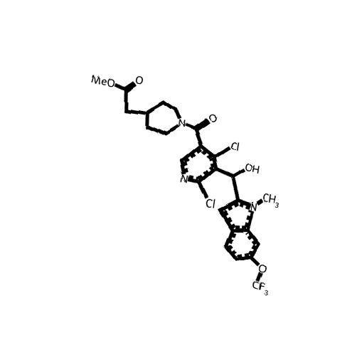 COC(=O)CC1CCN(C(=O)c2cnc(Cl)c(C(O)c3cc4ccc(OC(F)(F)F)cc4n3C)c2Cl)CC1